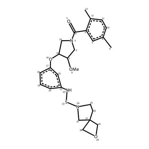 COC1CN(C(=O)c2cc(C)ccc2C)CC1Oc1cccc(NSN2CCC3(COC3)C2)c1